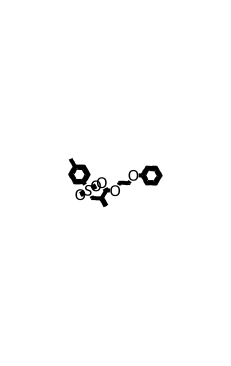 C=C(CS(=O)(=O)c1ccc(C)cc1)C(=O)OCCOc1ccccc1